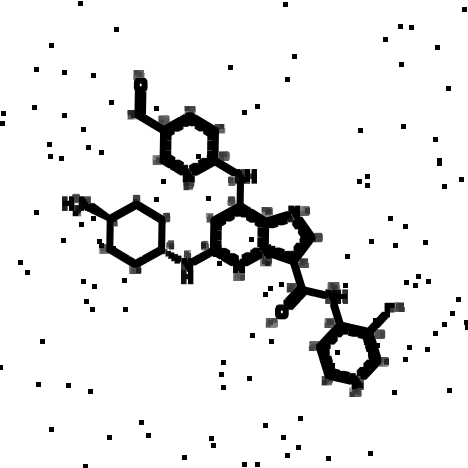 N[C@H]1CC[C@H](Nc2cc(Nc3ccc(C=O)cn3)c3ncc(C(=O)Nc4ccncc4F)n3n2)CC1